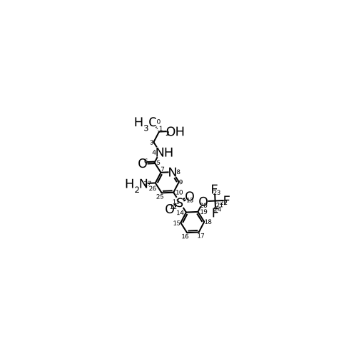 C[C@H](O)CNC(=O)c1ncc(S(=O)(=O)c2ccccc2OC(F)(F)F)cc1N